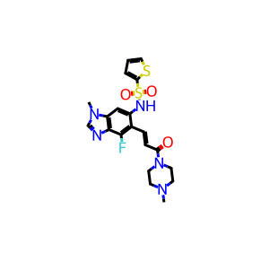 CN1CCN(C(=O)C=Cc2c(NS(=O)(=O)c3cccs3)cc3c(ncn3C)c2F)CC1